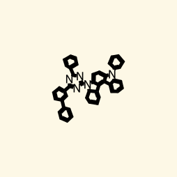 C1=CCC2C(=C1)c1c(ccc3c1c1ccccc1n3-c1ccccc1)N2c1nc(-c2ccccc2)nc(-c2cccc(-c3ccccc3)c2)n1